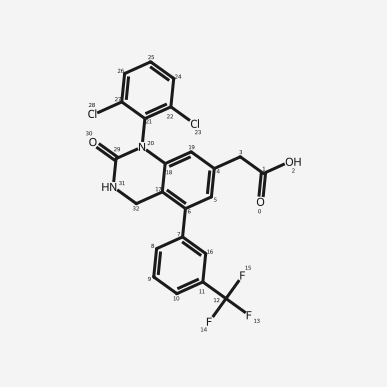 O=C(O)Cc1cc(-c2cccc(C(F)(F)F)c2)c2c(c1)N(c1c(Cl)cccc1Cl)C(=O)NC2